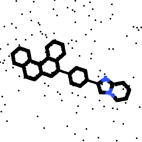 c1ccc2c(c1)ccc1cc(-c3ccc(-c4cn5ccccc5n4)cc3)c3ccccc3c12